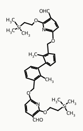 Cc1c(COc2ccc(C=O)c(OCC[Si](C)(C)C)n2)cccc1-c1cccc(COc2ccc(C=O)c(OCC[Si](C)(C)C)n2)c1C